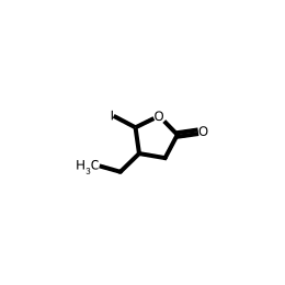 CCC1CC(=O)OC1I